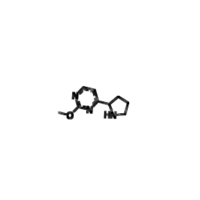 COc1nccc(C2CCCN2)n1